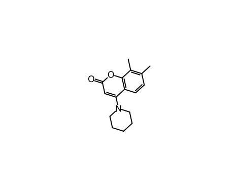 Cc1ccc2c(N3CCCCC3)cc(=O)oc2c1C